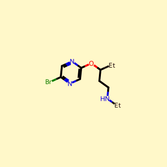 CCNCCC(CC)Oc1cnc(Br)cn1